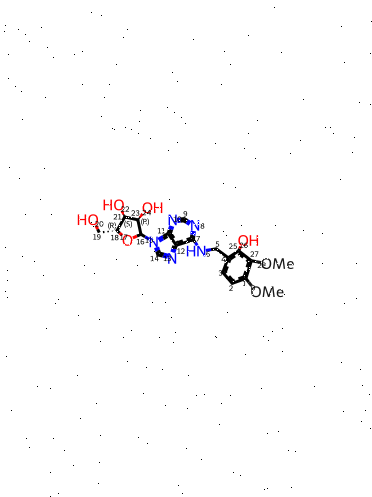 COc1ccc(CNc2ncnc3c2ncn3C2O[C@H](CO)[C@@H](O)[C@H]2O)c(O)c1OC